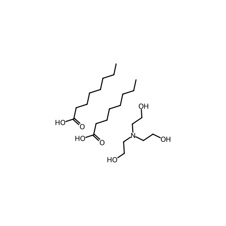 CCCCCCCC(=O)O.CCCCCCCC(=O)O.OCCN(CCO)CCO